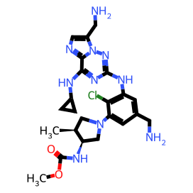 COC(=O)N[C@@H]1CN(c2cc(CN)cc(Nc3nc(NC4CC4)c4ncc(CN)n4n3)c2Cl)C[C@@H]1C